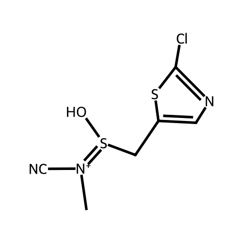 C[N+](C#N)=S(O)Cc1cnc(Cl)s1